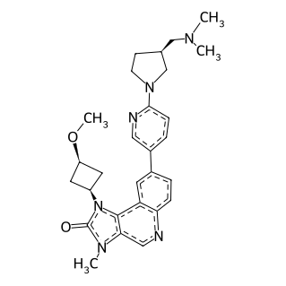 CO[C@H]1C[C@@H](n2c(=O)n(C)c3cnc4ccc(-c5ccc(N6CC[C@@H](CN(C)C)C6)nc5)cc4c32)C1